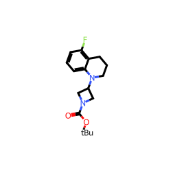 CC(C)(C)OC(=O)N1CC(N2CCCc3c(F)cccc32)C1